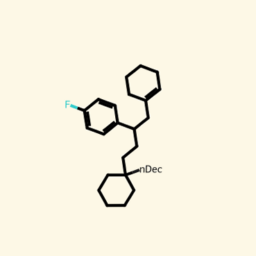 CCCCCCCCCCC1(CCC(CC2=CCCCC2)c2ccc(F)cc2)CCCCC1